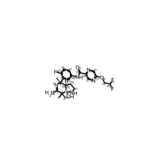 CC1(C)C(N)=N[C@](C)(c2cc(NC(=O)c3cnc(OCC(F)F)cn3)ccc2F)[C@@H]2CCNS21O